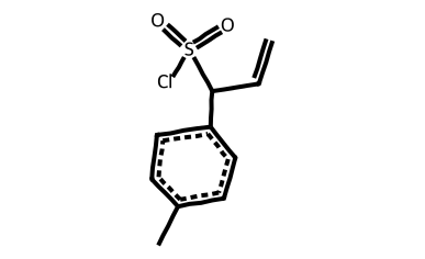 C=CC(c1ccc(C)cc1)S(=O)(=O)Cl